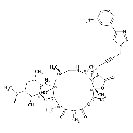 CC[C@H]1OC(=O)[C@H](C)C(=O)[C@H](C)[C@@H](O[C@@H]2OC(C)CC(N(C)C)C2O)[C@@](C)(O)C[C@@H](C)CN[C@H](C)[C@H]2N(CC#CCn3cc(-c4cccc(N)c4)nn3)C(=O)O[C@]12C